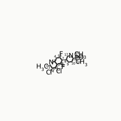 Cc1nc2cc(F)c(-c3ccc(P(C)(C)=O)nc3)c(F)c2c(Cl)c1Cl